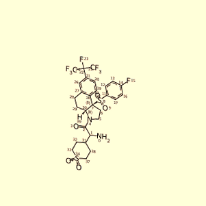 NC(C(=O)N1CC[C@@]2(S(=O)(=O)c3ccc(F)cc3)c3ccc(C(F)(C(F)(F)F)C(F)(F)F)cc3CC[C@@H]12)C1CCS(=O)(=O)CC1